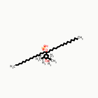 CCCCCCCCCCCCCCCCCCC(CCCCCCCCCCCCCCCCCC)(O[PH](=O)O)c1cc(C(C)(C)C)c(O)c(C(C)(C)C)c1